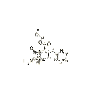 COCOC(=O)C1=C(Cc2ccccn2)CS[C@@H]2C(N)C(=O)N12